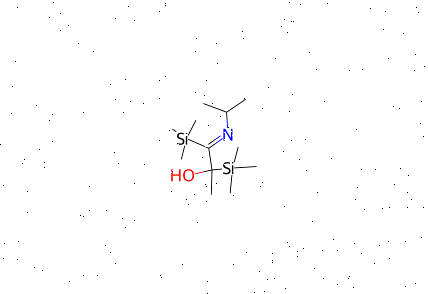 CC(C)N=C(C(C)(O)[Si](C)(C)C)[Si](C)(C)C